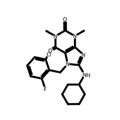 Cn1c(=O)c2c(nc(NC3CCCCC3)n2Cc2c(F)cccc2Cl)n(C)c1=O